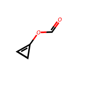 O=COC1=CC1